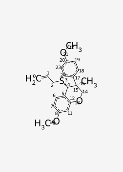 C=CCS[C@@H]1c2ccc(OC)cc2OC[C@]1(C)c1ccc(OC)cc1